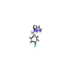 [CH2]NCc1ccc(F)cc1